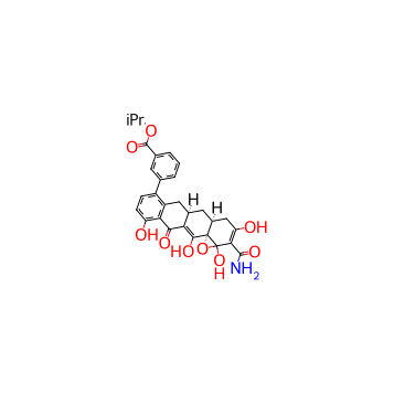 CC(C)OC(=O)c1cccc(-c2ccc(O)c3c2C[C@H]2C[C@H]4CC(O)=C(C(N)=O)C5(O)O[C@]45C(O)=C2C3=O)c1